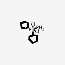 [PH2][Pd]([Cl])([Cl])([c]1ccccc1)[c]1ccccc1